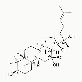 CC(=O)[C@@]1(O)C[C@@H]2[C@@]3(C)CC[C@@H](O)C(C)(C)[C@@H]3CC[C@@]2(C)[C@]2(C)CC[C@](O)([C@@](C)(O)CCC=C(C)C)[C@@H]12